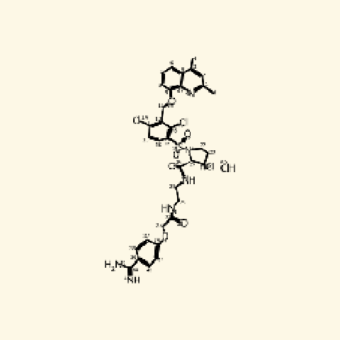 Cc1cc(C)c2cccc(OCc3c(Cl)ccc(S(=O)(=O)N4CCC[C@H]4C(=O)NCCNC(=O)COc4ccc(C(=N)N)cc4)c3Cl)c2n1.Cl.Cl